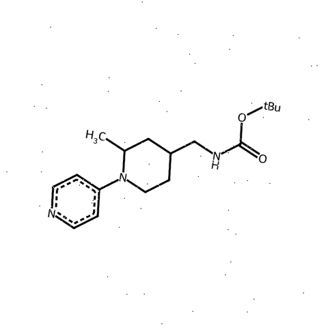 CC1CC(CNC(=O)OC(C)(C)C)CCN1c1ccncc1